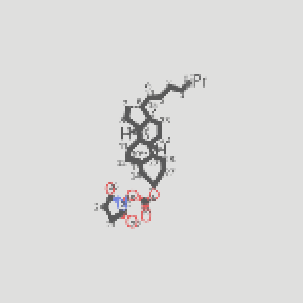 CC(C)CCC[C@@H](C)[C@H]1CC[C@H]2C3CC=C4C[C@H](OC(=O)ON5C(=O)CCC5=O)CC[C@]4(C)[C@H]3CC[C@]12C